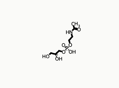 CC(=O)NCCOP(=O)(O)OC[C@H](O)CO